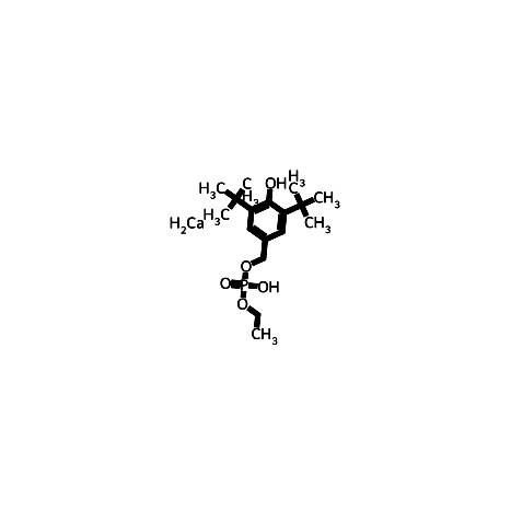 CCOP(=O)(O)OCc1cc(C(C)(C)C)c(O)c(C(C)(C)C)c1.[CaH2]